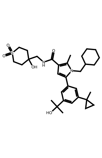 Cc1c(C(=O)NCC2(O)CCS(=O)(=O)CC2)cc(-c2cc(C(C)(C)O)cc(C3(C)CC3)c2)n1CC1CCCCC1